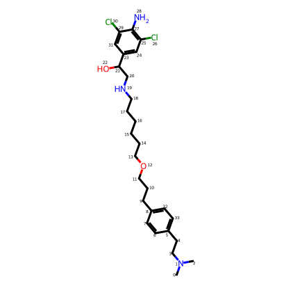 CN(C)CCc1ccc(CCCOCCCCCCNCC(O)c2cc(Cl)c(N)c(Cl)c2)cc1